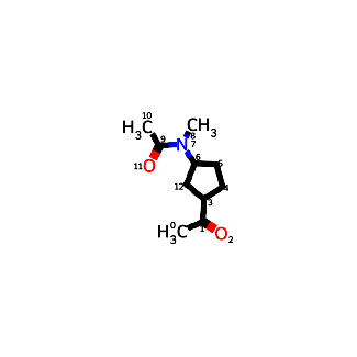 CC(=O)C1CCC(N(C)C(C)=O)C1